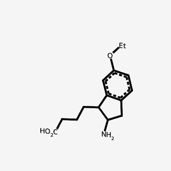 CCOc1ccc2c(c1)C(CCCC(=O)O)C(N)C2